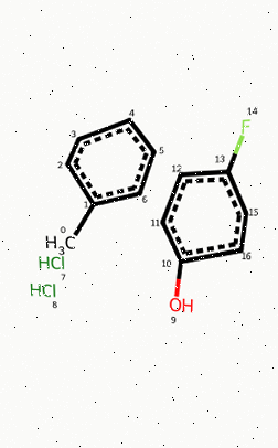 Cc1ccccc1.Cl.Cl.Oc1ccc(F)cc1